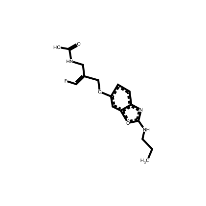 CCCNc1nc2ccc(OCC(=CF)CNC(=O)O)cc2o1